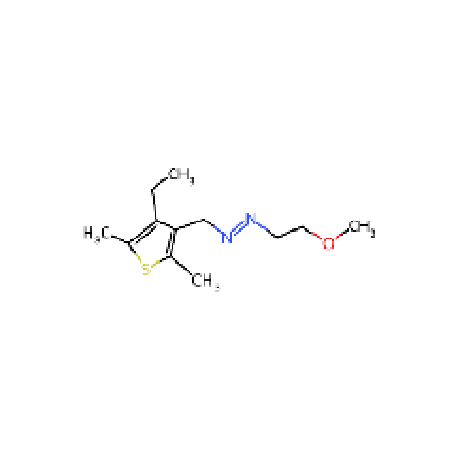 CCc1c(C)sc(C)c1CN=NCCOC